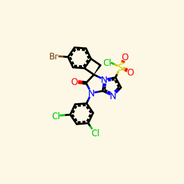 O=C1N(c2cc(Cl)cc(Cl)c2)c2ncc(S(=O)(=O)Cl)n2[C@]12Cc1ccc(Br)cc12